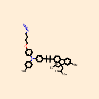 CCCCC(CC)CC1(CC(CC)CCCC)c2cc(C(C)(C)C)ccc2-c2ccc(C(C)(C)C(C)(C)c3ccc(N(c4ccc(OCCCCN=[N+]=[N-])cc4)c4ccc(C(C)(C)C)cc4)cc3)cc21